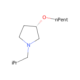 CCCCCO[C@H]1CCN(CC(C)C)C1